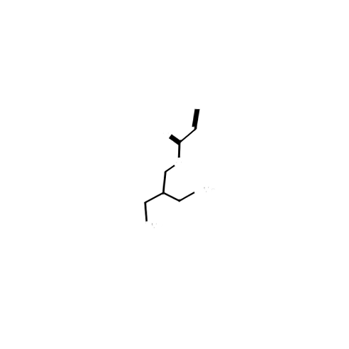 C=CC(=O)OCC(COC)COC